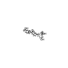 O=C(O)CCCN(CCCS(=O)(=O)O)c1ccc2cc(-c3nc4cc(C(=O)O)ccc4o3)c(=O)oc2c1